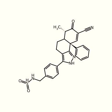 C[C@@H]1C(=O)C(C#N)=C[C@]2(c3ccccc3)c3n[nH]c(-c4ccc(CN[SH](=O)=O)cc4)c3CCC12